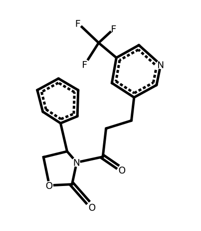 O=C(CCc1cncc(C(F)(F)F)c1)N1C(=O)OCC1c1ccccc1